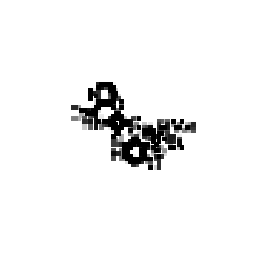 CCC(Nc1c(Nc2ccc(Cl)c(S(=O)(=O)N(CC)OC)c2O)c(=O)c1=O)c1ccccn1